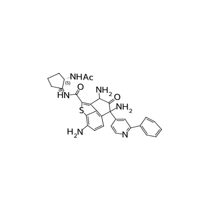 CC(=O)N[C@H]1CCC[C@H]1NC(=O)c1sc2c(N)ccc3c2c1C(N)C(=O)C3(N)c1ccnc(-c2ccccc2)c1